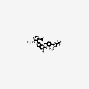 COc1ncnc(C2CC2)c1-c1ncc2c(n1)N(Cc1ccc(-c3nc(C(F)(F)F)cn3C)cc1)C(=S)NC2